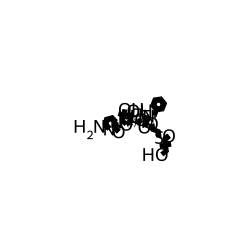 CC(C)(CO)C(=O)SCCOP(=O)(NCc1ccccc1)OC[C@H]1OC(n2ccc(N)nc2=O)C(C)(O)[C@H]1O